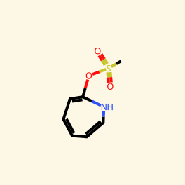 CS(=O)(=O)OC1=CC=CC=CN1